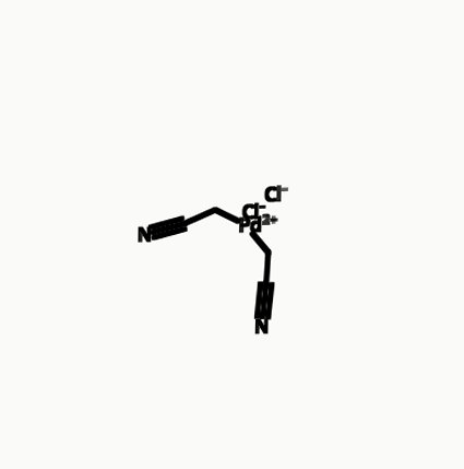 N#C[CH2][Pd+2][CH2]C#N.[Cl-].[Cl-]